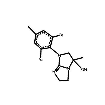 Cc1cc(Br)c(N2CC(C)(O)N3CCN=C23)c(Br)c1